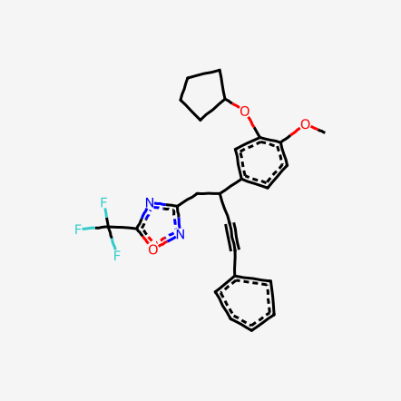 COc1ccc(C(C#Cc2ccccc2)Cc2noc(C(F)(F)F)n2)cc1OC1CCCC1